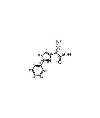 [N-]=[N+]=C(C(=O)O)c1csc(-c2ccccc2)n1